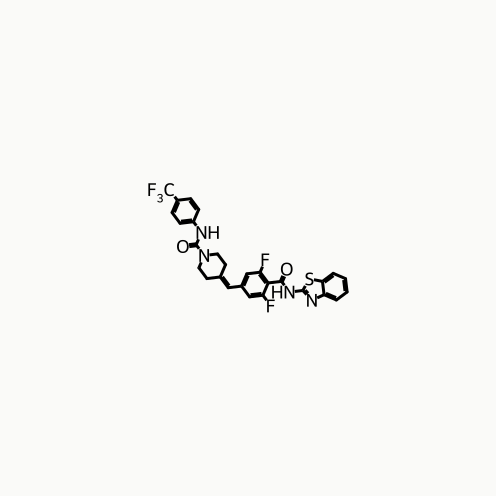 O=C(Nc1nc2ccccc2s1)c1c(F)cc(C=C2CCN(C(=O)Nc3ccc(C(F)(F)F)cc3)CC2)cc1F